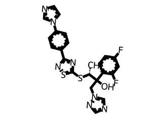 C[C@@H](Sc1nc(-c2ccc(-n3ccnc3)cc2)ns1)C(O)(Cn1cncn1)c1ccc(F)cc1F